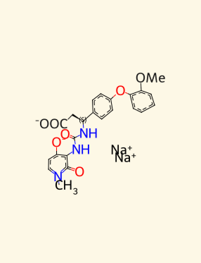 COc1ccccc1Oc1ccc([C@H](CC(=O)[O-])NC(=O)Nc2c([O-])ccn(C)c2=O)cc1.[Na+].[Na+]